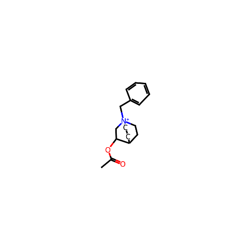 CC(=O)OC1C[N+]2(Cc3ccccc3)CCC1CC2